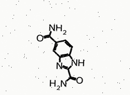 NC(=O)c1ccc2[nH]c(C(N)=O)nc2c1